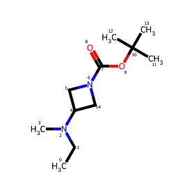 CCN(C)C1CN(C(=O)OC(C)(C)C)C1